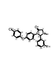 CN1CC(=O)N(c2ccc(Oc3ccc(Cl)cc3)cc2)C1c1cccc(F)c1